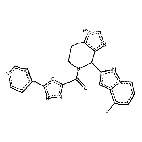 O=C(c1nnc(-c2ccncc2)o1)N1CCc2[nH]cnc2C1c1cc2c(F)cccn2n1